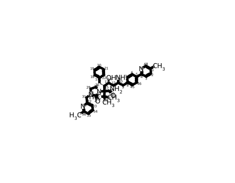 Cc1ccc(-c2ccc(CC(N)C[C@H](O)[C@@H](Cc3ccccc3)C(C(N)=O)(N3CCN(Cc4cccc(C)n4)C3=O)C(C)(C)C)cc2)nc1